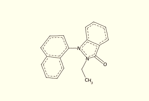 CCn1c(=O)c2ccccc2n1-c1cccc2ccccc12